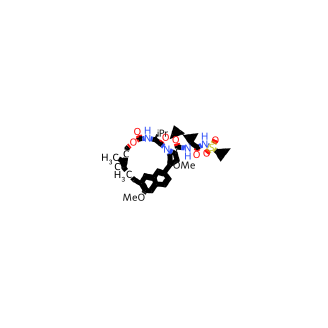 COc1cc2ccc3cc2cc1CCCC(C)(C)CCOC(=O)N[C@@H](C(C)C)C(=O)N1C[C@@]3(OC)C[C@H]1C(=O)N[C@]1(C(=O)NS(=O)(=O)C2CC2)C[C@H]1C1CC1